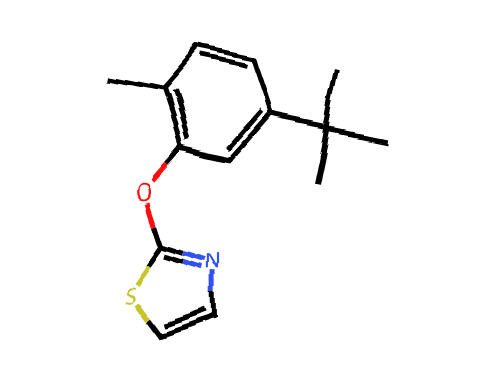 Cc1ccc(C(C)(C)C)cc1Oc1nccs1